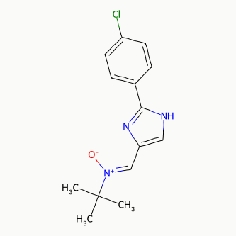 CC(C)(C)[N+]([O-])=Cc1c[nH]c(-c2ccc(Cl)cc2)n1